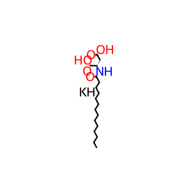 CCCCCCCCCCCCCC(=O)N[C@@H](CC(=O)O)C(=O)O.[KH]